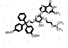 COc1ccc(C(OC[C@H]2O[C@@H](n3cnc4c(=O)[nH]c(N)nc43)[C@H](OCCON(C)C)[C@@H]2O)(c2ccccc2)c2ccc(OC)cc2)cc1